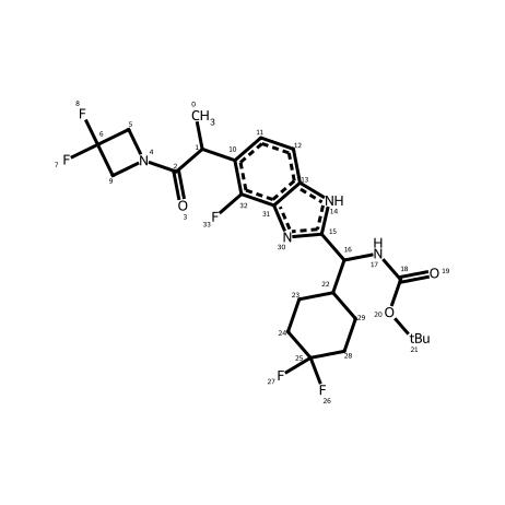 CC(C(=O)N1CC(F)(F)C1)c1ccc2[nH]c(C(NC(=O)OC(C)(C)C)C3CCC(F)(F)CC3)nc2c1F